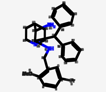 COc1ccc(C(C)C)cc1CNC1(C(c2ccccc2)c2ccccc2)C(N)C2CCN1CC2